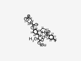 C[C@@H](C(=O)OC(C)(C)C)N(C(=O)[C@@H]1CCCN1S(=O)(=O)c1ccc(F)cc1)c1ccc(OC(=O)N2CCS(=O)(=O)CC2)cc1